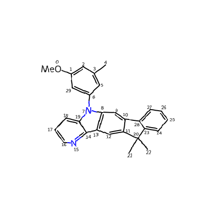 COc1cc(C)cc(-n2c3cc4c(cc3c3ncccc32)C(C)(C)c2ccccc2-4)c1